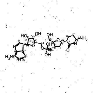 NC1=NC(=O)N([C@H]2C[C@H](O[PH](O)(O)OC[C@H]3O[C@@H](n4cnc5c(N)ncnc54)[C@H](O)[C@@H]3O)[C@@H](CO)O2)CC1